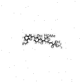 COC(=O)NC(CCC=CC(=O)N(C)C)C(=O)Nc1cccn(Cc2nc3cccc(CC(C)C)c3o2)c1=O